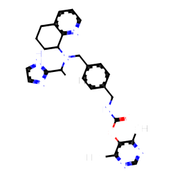 Cc1ncnc(C)c1OC(=O)NCc1ccc(CN(C(C)c2ncc[nH]2)C2CCCc3cccnc32)cc1